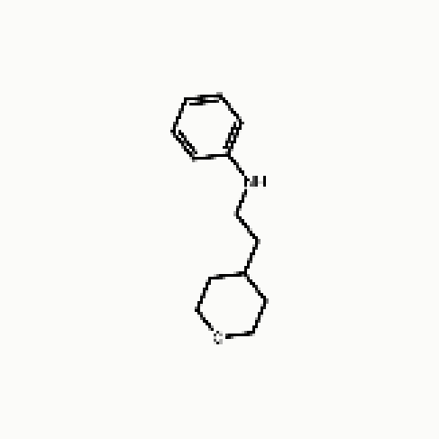 c1ccc(NCCC2CCOCC2)cc1